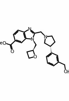 COC(=O)c1ccc2nc(CN3CC[C@H](c4cccc(CO)c4)C3)n(C[C@@H]3CCO3)c2c1